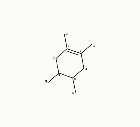 CC1=C(C)CC(C)C(C)C1